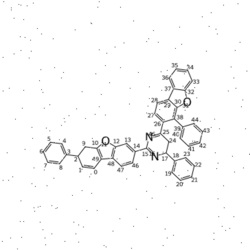 C1=CC(c2ccccc2)Cc2oc3cc(C4=NC(c5ccccc5)CC(c5ccc6c(oc7ccccc76)c5-c5ccccc5)=N4)ccc3c21